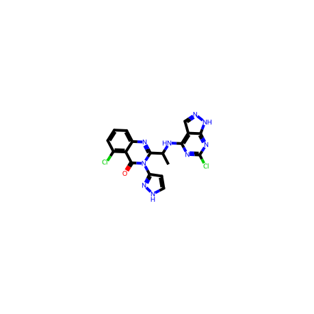 CC(Nc1nc(Cl)nc2[nH]ncc12)c1nc2cccc(Cl)c2c(=O)n1-c1cc[nH]n1